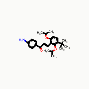 CC(C)Oc1ccc(C(C)(C)C)c(OC(C)C)c1C=CC(=O)c1ccc(N)cc1